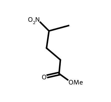 COC(=O)CCC(C)[N+](=O)[O-]